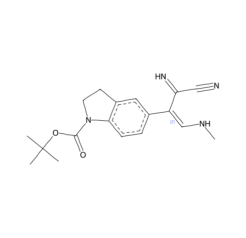 CN/C=C(\C(=N)C#N)c1ccc2c(c1)CCN2C(=O)OC(C)(C)C